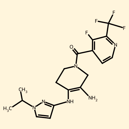 CC(C)n1ccc(NC2=C(N)CN(C(=O)c3ccnc(C(F)(F)F)c3F)CC2)n1